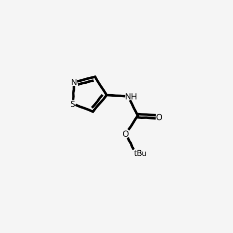 CC(C)(C)OC(=O)Nc1cnsc1